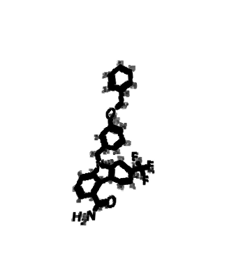 NC(=O)c1cccc2c1c1[c]cc(C(F)(F)F)cc1n2Cc1cccc(OCc2ccccc2)c1